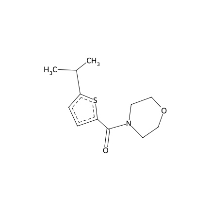 CC(C)c1ccc(C(=O)N2CCOCC2)s1